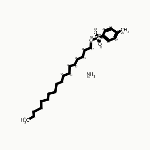 CCCCCCCCCCCCCCCCCCOS(=O)(=O)c1ccc(C)cc1.N